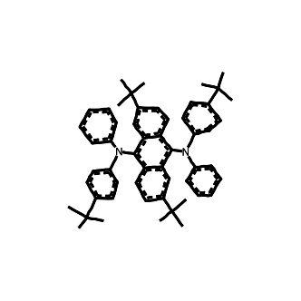 CC(C)(C)c1ccc(N(c2ccccc2)c2c3ccc(C(C)(C)C)cc3c(N(c3ccccc3)c3ccc(C(C)(C)C)cc3)c3ccc(C(C)(C)C)cc23)cc1